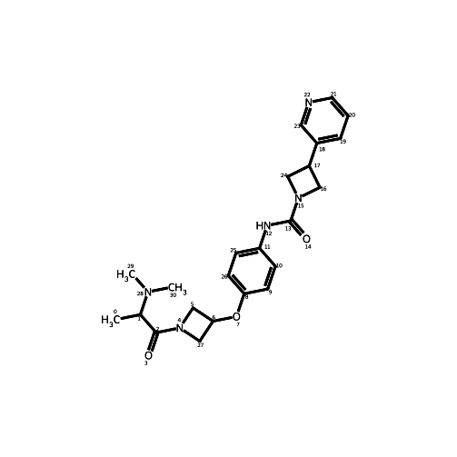 CC(C(=O)N1CC(Oc2ccc(NC(=O)N3CC(c4cccnc4)C3)cc2)C1)N(C)C